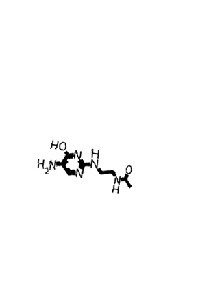 CC(=O)NCCNc1ncc(N)c(O)n1